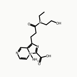 CCN(CCO)C(=O)CCC1=C2C=NC=C[N+]2(N)C(C(=O)O)=N1